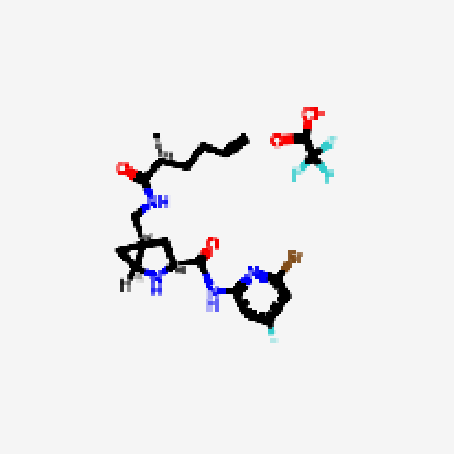 C=CCC[C@@H](C)C(=O)NC[C@@]12C[C@@H](C(=O)Nc3cc(F)cc(Br)n3)N[C@@H]1C2.O=C(O)C(F)(F)F